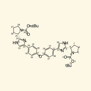 CC(C)(C)OC(=O)N1CCC[C@H]1c1nc(-c2ccc(Oc3ccc(-c4c[nH]c([C@@H]5CCCN5C(=O)OC(C)(C)C)n4)cc3)cc2)c[nH]1